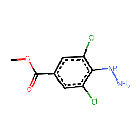 COC(=O)c1cc(Cl)c(NN)c(Cl)c1